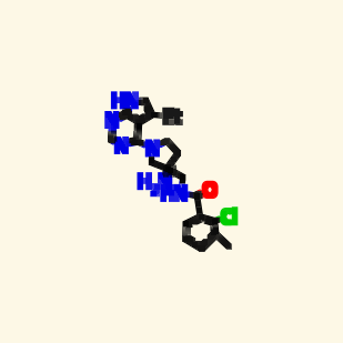 CCc1c[nH]c2ncnc(N3CC[C@](N)(CNC(=O)c4cccc(C)c4Cl)C3)c12